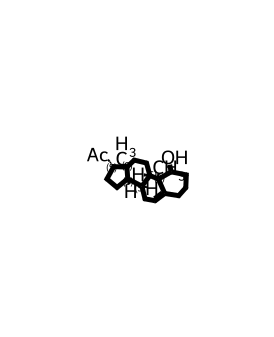 CC(=O)[C@H]1CC[C@H]2[C@@H]3CC=C4CCCC(O)[C@]4(C)[C@H]3CC[C@]12C